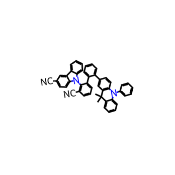 CC1(C)c2ccccc2N(c2ccccc2)c2ccc(-c3ccccc3-c3cccc(C#N)c3-n3c4ccccc4c4cc(C#N)ccc43)cc21